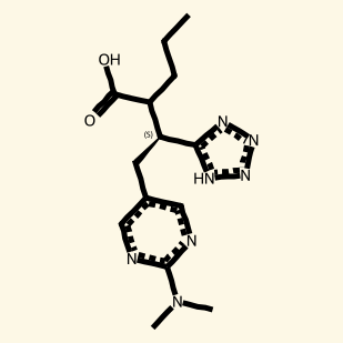 CCCC(C(=O)O)[C@H](Cc1cnc(N(C)C)nc1)c1nnn[nH]1